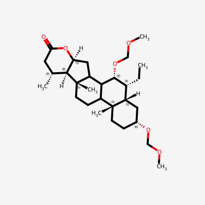 CC[C@H]1[C@@H](OCOC)C2C3C[C@@H]4OC(=O)C[C@@H](C)[C@@H]4[C@@]3(C)CCC2[C@@]2(C)CC[C@@H](OCOC)C[C@@H]12